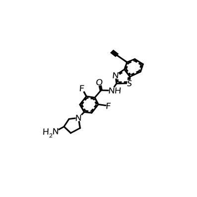 C#Cc1cccc2sc(NC(=O)c3c(F)cc(N4CCC(N)C4)cc3F)nc12